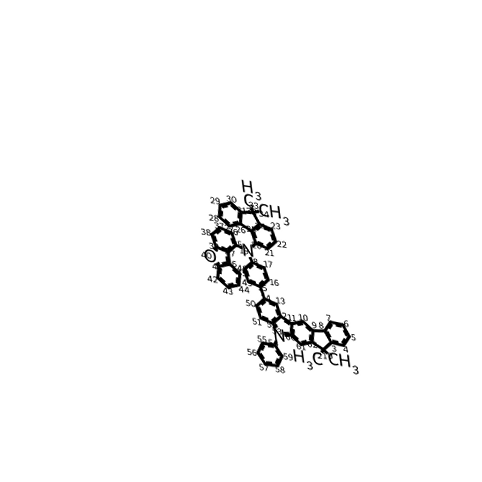 CC1(C)c2ccccc2-c2cc3c4cc(-c5ccc(N(c6cccc7c6-c6ccccc6C7(C)C)c6cccc7oc8ccccc8c67)cc5)ccc4n(-c4ccccc4)c3cc21